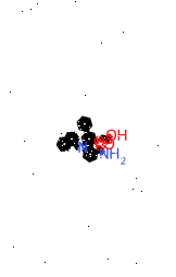 NC(=O)c1cccc2c1c1c(OCC(=O)O)cc(-c3ccccc3)cc1n2Cc1cccc2ccccc12